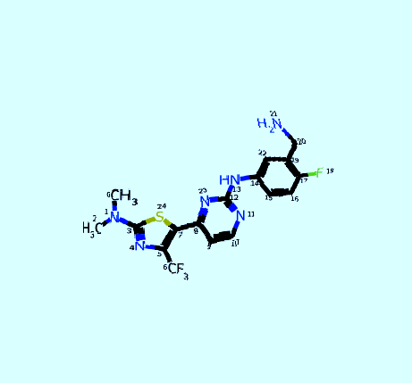 CN(C)c1nc(C(F)(F)F)c(-c2ccnc(Nc3ccc(F)c(CN)c3)n2)s1